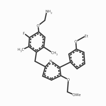 CCOc1cccc(-c2nc(Cc3c(C)cc(OCN)c(F)c3C)ccc2OCOC)c1